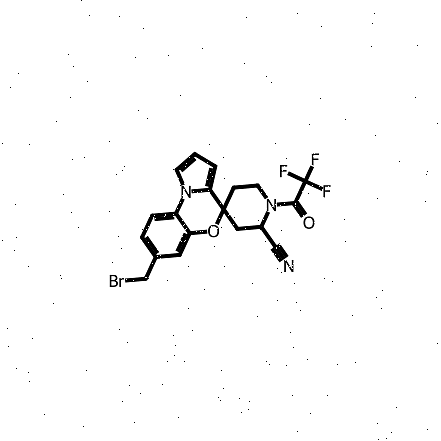 N#CC1CC2(CCN1C(=O)C(F)(F)F)Oc1cc(CBr)ccc1-n1cccc12